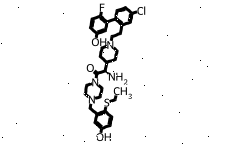 CCSc1ccc(O)cc1CN1CCN(C(=O)[C@H](N)C2CCN(CCc3cc(Cl)ccc3-c3cc(O)ccc3F)CC2)CC1